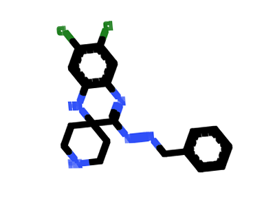 Clc1cc2c(cc1Cl)NC1(CCNCC1)C(N=NCc1ccccc1)=N2